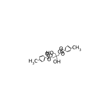 Cc1ccc(S(=O)(=O)OCC(CO)(CO)COS(=O)(=O)c2ccc(C)cc2)cc1